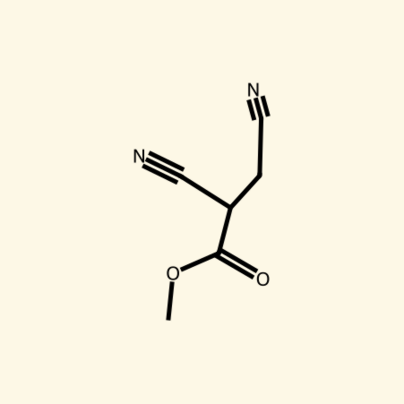 COC(=O)C(C#N)CC#N